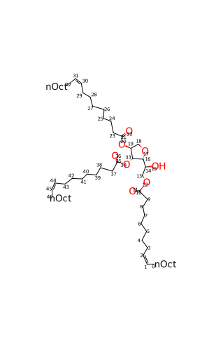 CCCCCCCC/C=C\CCCCCCCC(=O)OC[C@H](O)[C@H]1OC[C@H](OC(=O)CCCCCCC/C=C\CCCCCCCC)[C@H]1OC(=O)CCCCCCC/C=C\CCCCCCCC